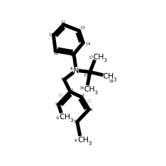 C/C=C(\C=C/CC)CN(c1ccccc1)C(C)(C)C